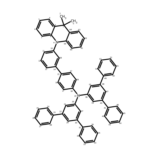 CC1(C)c2ccccc2N(c2cccc(-c3ccc(N(c4cc(-c5ccccc5)cc(-c5ccccc5)c4)c4cc(-c5ccccc5)cc(-c5ccccc5)c4)cc3)c2)c2ccccc21